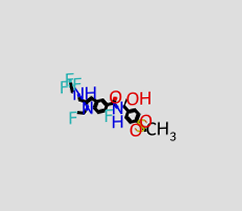 CCS(=O)(=O)c1ccc([C@H](CO)NC(=O)c2cc3cc(CNCC(F)(F)F)n(CCF)c3cc2F)cc1